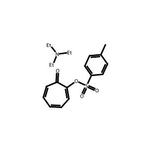 CCN(CC)CC.Cc1ccc(S(=O)(=O)Oc2cccccc2=O)cc1